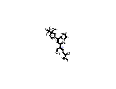 CNC(=O)N/C=C(\C=O)c1cc(N2CCC(OC)(C(F)(F)F)C2)c2nccn2n1